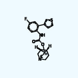 O=C(Nc1ccc(F)cc1-c1ccsc1)O[C@H]1C[N@]2CC[C@H]1CC2